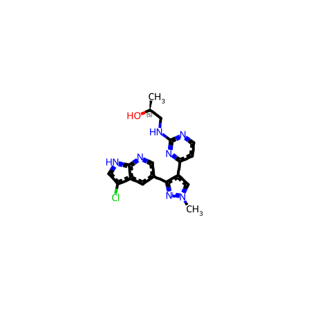 C[C@H](O)CNc1nccc(-c2cn(C)nc2-c2cnc3[nH]cc(Cl)c3c2)n1